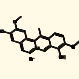 COc1cc2c(cc[n+]3cc4c(O)c(OC)ccc4c(C)c23)cc1O.[Br-]